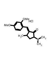 COc1ccc(C=C2C(=O)C(N(C)C)CC2C)c(OC)c1.Cl